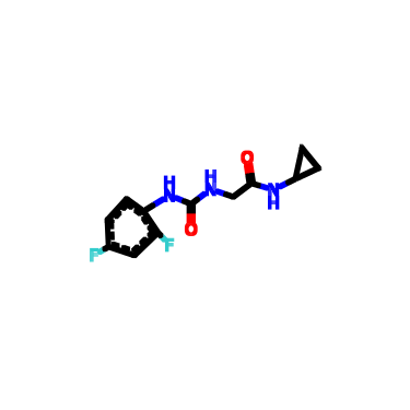 O=C(CNC(=O)Nc1ccc(F)cc1F)NC1CC1